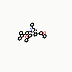 CCC1CC(c2ccccc2)=NC(c2ccc(-c3cc4ccccc4c4ccccc34)cc2)=CC1c1cc(-c2ccc3oc4ccccc4c3c2)ccc1-c1ccc2oc3ccccc3c2c1